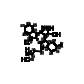 CCn1cc(C2=NNC(O)N2c2cn(CCCN)c3ccc(F)cc23)c2ccccc21.Cl